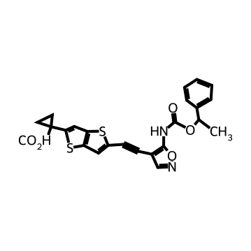 CC(OC(=O)Nc1oncc1C#Cc1cc2sc(C3(C(=O)O)CC3)cc2s1)c1ccccc1